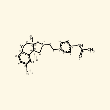 CC(=O)Nc1ccc(CCN2C[C@H]3COc4ccc(N)cc4[C@@H]3C2)cc1